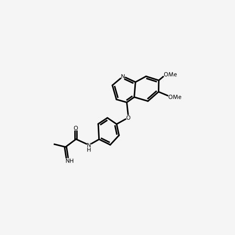 COc1cc2nccc(Oc3ccc(NC(=O)C(C)=N)cc3)c2cc1OC